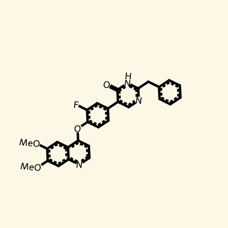 COc1cc2nccc(Oc3ccc(-c4cnc(Cc5ccccc5)[nH]c4=O)cc3F)c2cc1OC